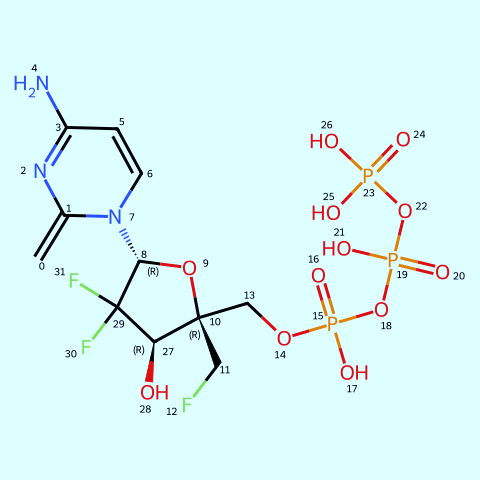 C=C1N=C(N)C=CN1[C@@H]1O[C@](CF)(COP(=O)(O)OP(=O)(O)OP(=O)(O)O)[C@@H](O)C1(F)F